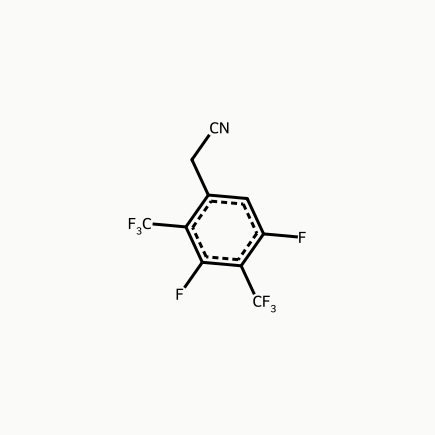 N#CCc1cc(F)c(C(F)(F)F)c(F)c1C(F)(F)F